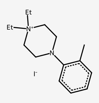 CC[N+]1(CC)CCN(c2ccccc2C)CC1.[I-]